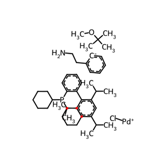 CC(C)c1cc(C(C)C)c(-c2ccccc2P(C2CCCCC2)C2CCCCC2)c(C(C)C)c1.COC(C)(C)C.NCCc1[c-]cccc1.[Cl][Pd+]